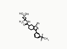 CC(C)n1nc(-c2cccc(C(C)(F)F)c2)c2c1CC(C(=O)NC1(C)CS(O)(O)C1)CC2